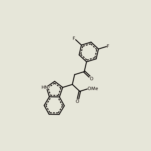 COC(=O)C(CC(=O)c1cc(F)cc(F)c1)c1c[nH]c2ccccc12